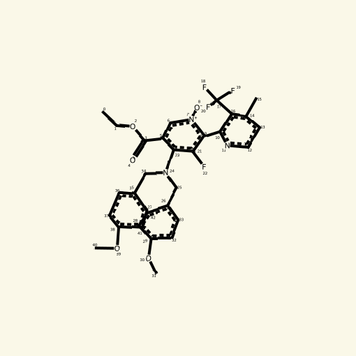 CCOC(=O)c1c[n+]([O-])c(-c2nccc(C)c2C(F)(F)F)c(F)c1N(Cc1ccc(OC)cc1)Cc1ccc(OC)cc1